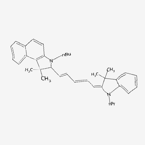 CCCCN1c2ccc3ccccc3c2C(C)(C)C1/C=C/C=C/C=C1/N(CCC)c2ccccc2C1(C)C